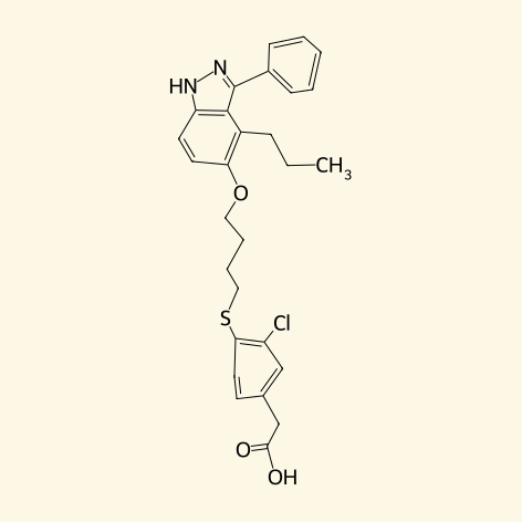 CCCc1c(OCCCCSc2ccc(CC(=O)O)cc2Cl)ccc2[nH]nc(-c3ccccc3)c12